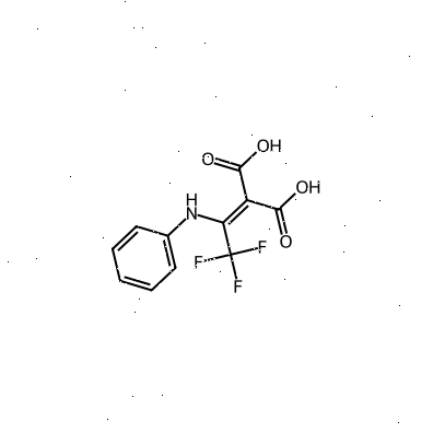 O=C(O)C(C(=O)O)=C(Nc1ccccc1)C(F)(F)F